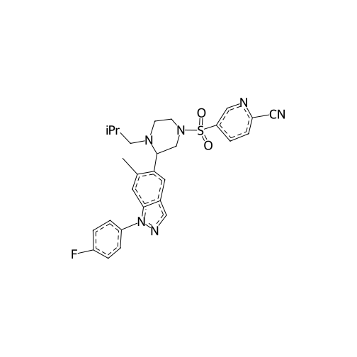 Cc1cc2c(cnn2-c2ccc(F)cc2)cc1C1CN(S(=O)(=O)c2ccc(C#N)nc2)CCN1CC(C)C